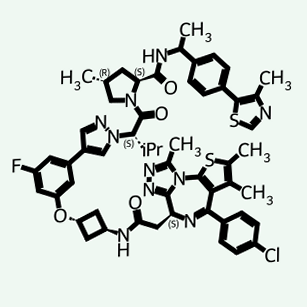 Cc1ncsc1-c1ccc(C(C)NC(=O)[C@@H]2C[C@@H](C)CN2C(=O)[C@H](C(C)C)n2cc(-c3cc(F)cc(O[C@H]4C[C@H](NC(=O)C[C@@H]5N=C(c6ccc(Cl)cc6)c6c(sc(C)c6C)-n6c(C)nnc65)C4)c3)cn2)cc1